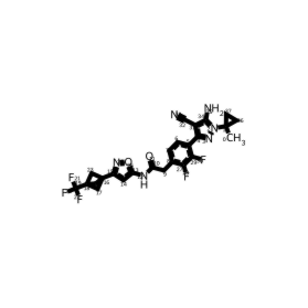 CC1(n2nc(-c3ccc(CC(=O)Nc4cc(C56CC(C(F)(F)F)(C5)C6)no4)c(F)c3F)c(C#N)c2N)CC1